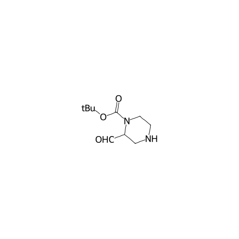 CC(C)(C)OC(=O)N1CCNCC1C=O